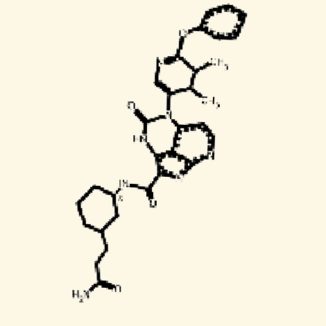 CC1C(N2C(=O)Nc3c(C(=O)N[C@@H]4CCCC(CCC(N)=O)C4)sc4nccc2c34)=CN=C(Oc2ccccc2)C1C